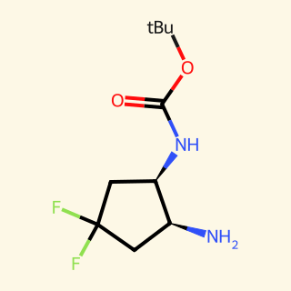 CC(C)(C)OC(=O)N[C@@H]1CC(F)(F)C[C@@H]1N